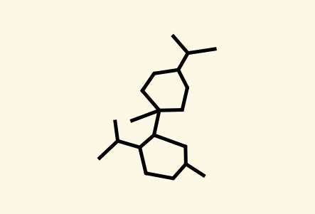 CC1CCC(C(C)C)C(C2(C)CCC(C(C)C)CC2)C1